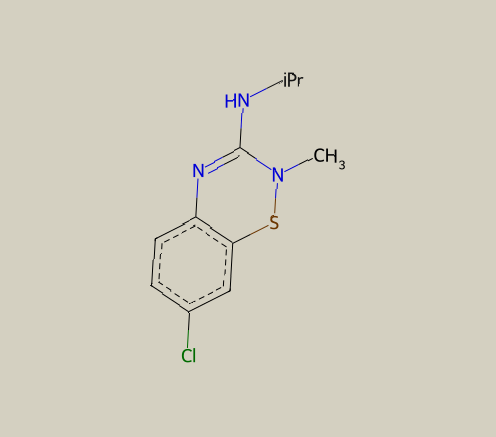 CC(C)NC1=Nc2ccc(Cl)cc2SN1C